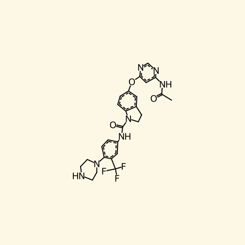 CC(=O)Nc1cc(Oc2ccc3c(c2)CCN3C(=O)Nc2ccc(N3CCNCC3)c(C(F)(F)F)c2)ncn1